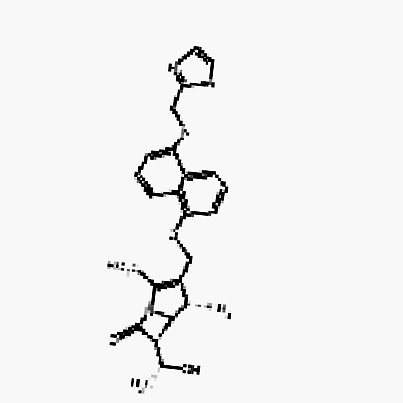 C[C@H]1C(COc2cccc3c(NCc4nccs4)cccc23)=C(C(=O)O)N2C(=O)[C@H]([C@@H](C)O)C12